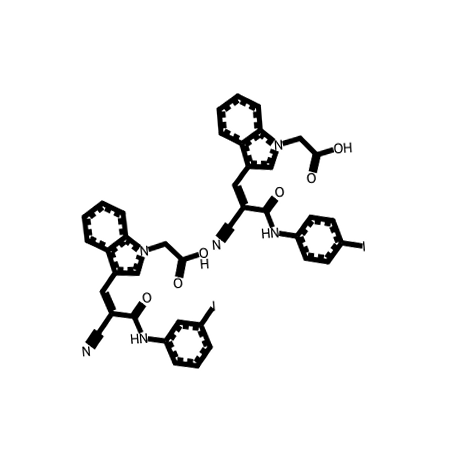 N#CC(=Cc1cn(CC(=O)O)c2ccccc12)C(=O)Nc1ccc(I)cc1.N#CC(=Cc1cn(CC(=O)O)c2ccccc12)C(=O)Nc1cccc(I)c1